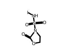 O=C1OCCN1S(=O)(=O)NI